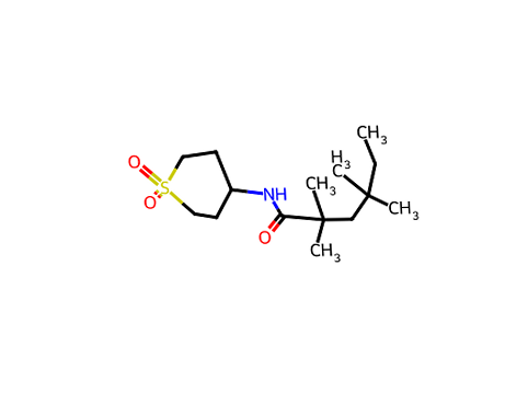 CCC(C)(C)CC(C)(C)C(=O)NC1CCS(=O)(=O)CC1